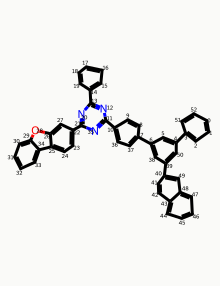 c1ccc(-c2cc(-c3ccc(-c4nc(-c5ccccc5)nc(-c5ccc6c(c5)oc5ccccc56)n4)cc3)cc(-c3ccc4ccccc4c3)c2)cc1